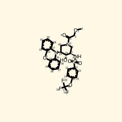 COCC(=O)N1C[C@@H](NS(=O)(=O)c2ccc(OC(F)(F)F)cc2)[C@H](O)[C@@H](N2c3ccccc3Oc3ccccc32)C1